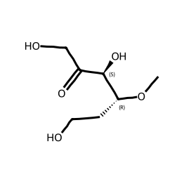 CO[C@H](CCO)[C@H](O)C(=O)CO